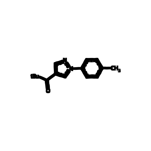 Cc1ccc(-n2cc(C(=O)C(C)(C)C)cn2)cc1